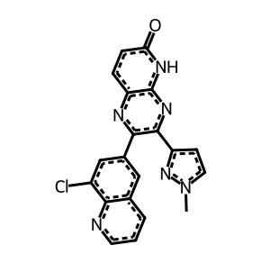 Cn1ccc(-c2nc3[nH]c(=O)ccc3nc2-c2cc(Cl)c3ncccc3c2)n1